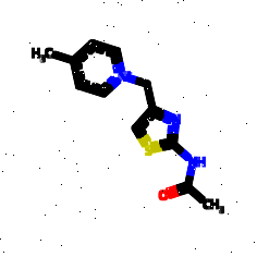 CC(=O)Nc1nc(C[n+]2ccc(C)cc2)cs1